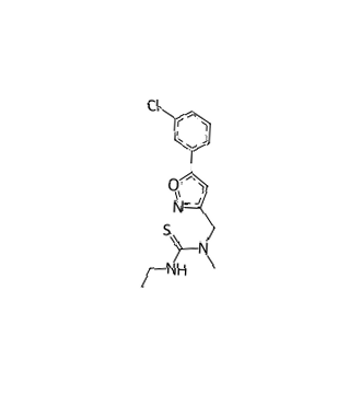 CCNC(=S)N(C)Cc1cc(-c2cccc(Cl)c2)on1